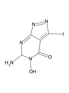 NC1N=C2N=NC(I)=C2C(=O)N1O